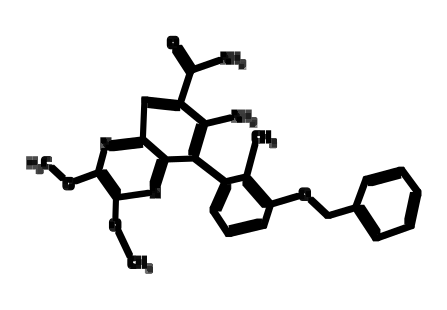 COc1nc2cc(C(N)=O)c(N)c(-c3cccc(OCc4ccccc4)c3C)c2nc1OC